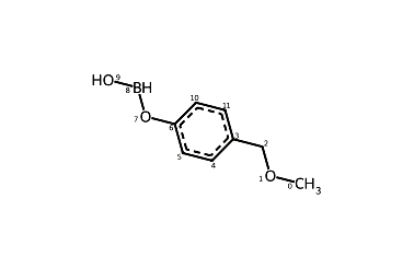 COCc1ccc(OBO)cc1